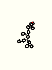 c1ccc(-c2ccc(N(c3ccc4c(c3)C3(CCCCC3)c3ccccc3-4)c3ccc4c5ccc(-c6cccc7c6-c6ccccc6C76C7CC8CC(C7)CC6C8)cc5n(-c5ccccc5)c4c3)cc2)cc1